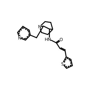 O=C(/C=C/c1cccs1)NC1C2CCN(CC2)C1Cc1cccnc1